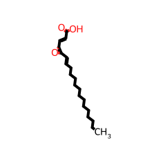 CCCCCCCCCCCCCC=CC1=C(C=CC(=O)O)O1